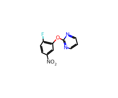 O=[N+]([O-])c1ccc(F)c(Oc2ncccn2)c1